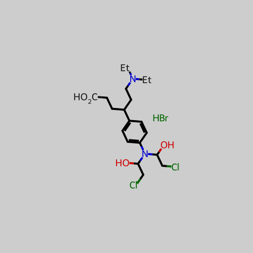 Br.CCN(CC)CCC(CCC(=O)O)c1ccc(N(C(O)CCl)C(O)CCl)cc1